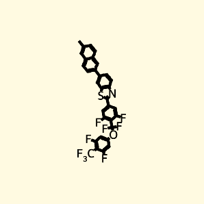 Cc1ccc2cc(-c3ccc4nc(-c5cc(F)c(C(F)(F)Oc6cc(F)c(C(F)(F)F)c(F)c6)c(F)c5)sc4c3)ccc2c1